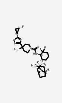 CC(C)N1C2CC[C@H]1C[C@@H](O[C@H]1CCCC(F)(F)[C@@H]1NC(=O)N1CCC(C)(c3noc([C@@H]4C[C@@H]4F)n3)CC1)C2